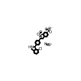 O=S(=O)([O-])c1ccc(C=Cc2ccc(C3NCc4cccc(Cl)c43)cc2)c(S(=O)(=O)[O-])c1.[Na+].[Na+]